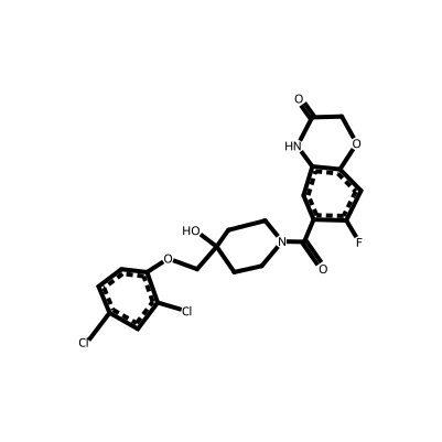 O=C1COc2cc(F)c(C(=O)N3CCC(O)(COc4ccc(Cl)cc4Cl)CC3)cc2N1